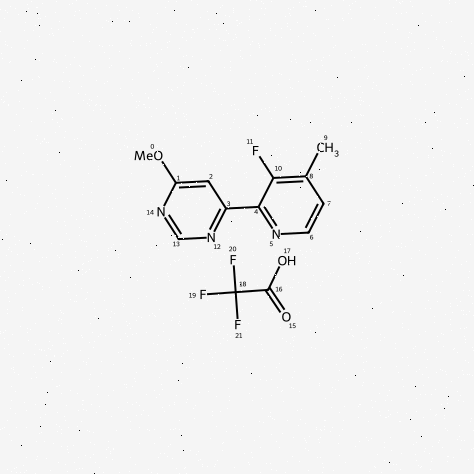 COc1cc(-c2nccc(C)c2F)ncn1.O=C(O)C(F)(F)F